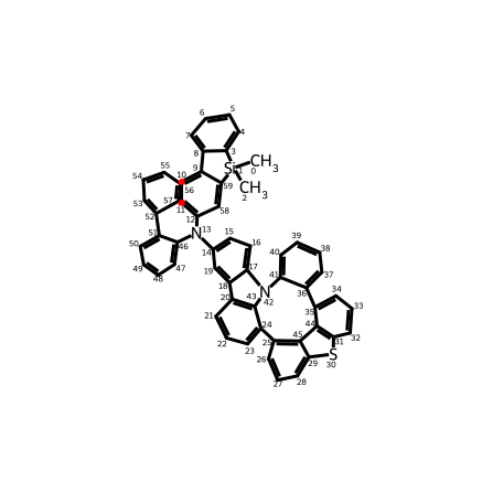 C[Si]1(C)c2ccccc2-c2ccc(N(c3ccc4c(c3)c3cccc5c6cccc7sc8cccc(c9ccccc9n4c53)c8c76)c3ccccc3-c3ccccc3)cc21